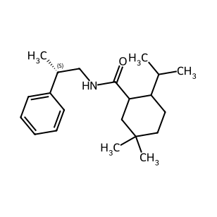 CC(C)C1CCC(C)(C)CC1C(=O)NC[C@@H](C)c1ccccc1